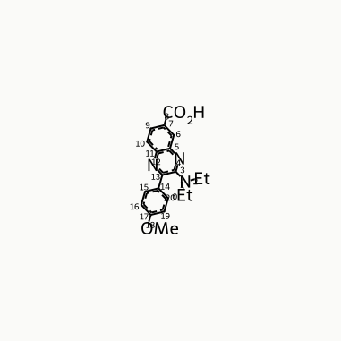 CCN(CC)c1nc2cc(C(=O)O)ccc2nc1-c1ccc(OC)cc1